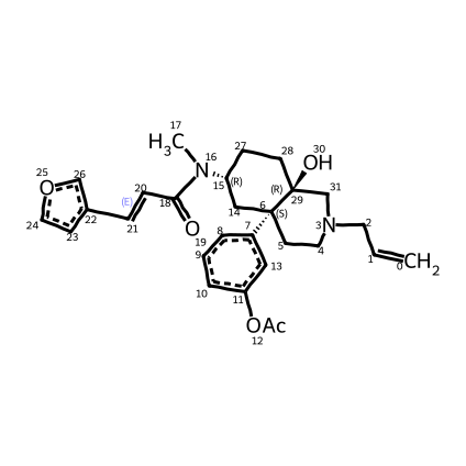 C=CCN1CC[C@@]2(c3cccc(OC(C)=O)c3)C[C@H](N(C)C(=O)/C=C/c3ccoc3)CC[C@]2(O)C1